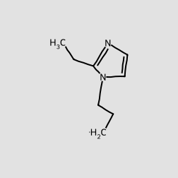 [CH2]CCn1ccnc1CC